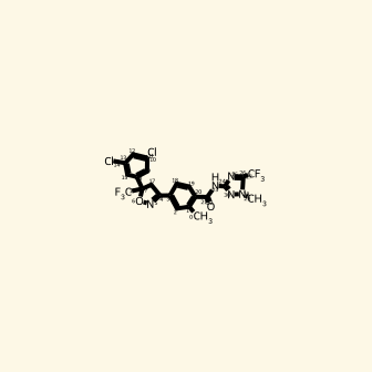 Cc1cc(C2=NOC(c3cc(Cl)cc(Cl)c3)(C(F)(F)F)C2)ccc1C(=O)Nc1nc(C(F)(F)F)n(C)n1